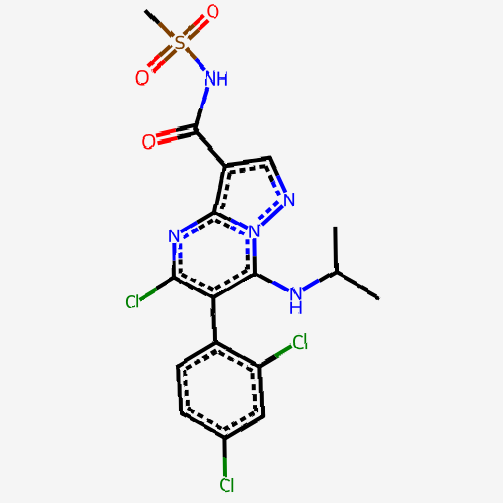 CC(C)Nc1c(-c2ccc(Cl)cc2Cl)c(Cl)nc2c(C(=O)NS(C)(=O)=O)cnn12